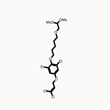 CCc1cc(OCC=C(Cl)Cl)cc(CC)c1OCCCCCOCC(OC)OC